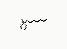 CCCCCCOP(=O)(OC)OC